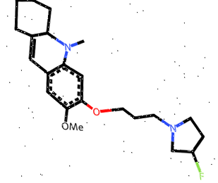 COc1cc2c(cc1OCCCN1CCC(F)C1)N(C)C1CCCCC1=C2